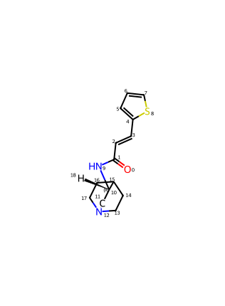 O=C(C=Cc1cccs1)N[C@H]1CN2CCC1CC2